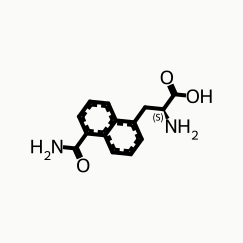 NC(=O)c1cccc2c(C[C@H](N)C(=O)O)cccc12